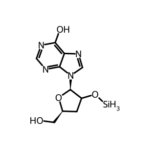 OC[C@@H]1CC(O[SiH3])[C@H](n2cnc3c(O)ncnc32)O1